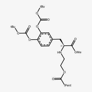 CCCC(C)C(=O)OCCN[C@@H](Cc1ccc(OC(=O)OC(C)(C)C)c(OC(=O)OC(C)(C)C)c1)C(=O)OC